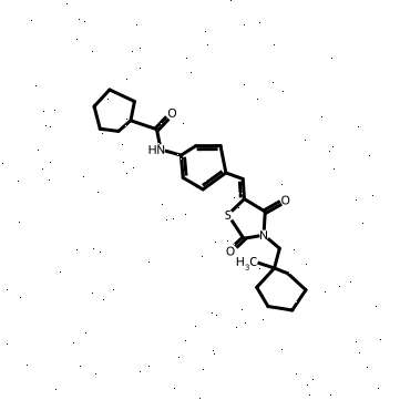 CC1(CN2C(=O)SC(=Cc3ccc(NC(=O)C4CCCCC4)cc3)C2=O)CCCCC1